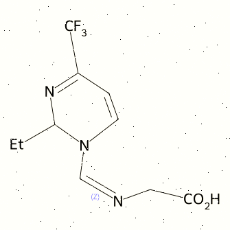 CCC1N=C(C(F)(F)F)C=CN1/C=N\CC(=O)O